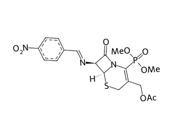 COP(=O)(OC)C1=C(COC(C)=O)CS[C@H]2[C@@H](N=Cc3ccc([N+](=O)[O-])cc3)C(=O)N12